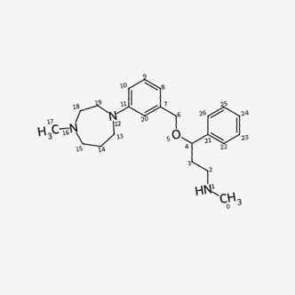 CNCCC(OCc1cccc(N2CCCN(C)CC2)c1)c1ccccc1